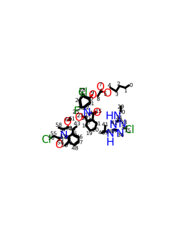 CCCCCOC(=O)COc1cc(N2C(=O)C3=C(CCCC3)C2=O)c(F)cc1Cl.CCNc1nc(Cl)nc(NC(C)C)n1.CCc1cccc(C)c1N(C(=O)CCl)C(C)COC